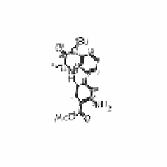 COC(=O)c1ccc(-c2ccccc2NC(C)C(=O)OC(C)(C)C)cc1N